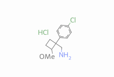 COC1CCC1(CN)c1ccc(Cl)cc1.Cl